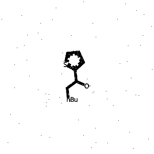 CCCCCC([O])c1cccs1